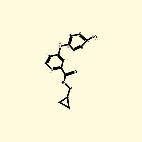 O=C(NCC1CC1)c1cc(Oc2ccc([N+](=O)[O-])cc2)ccn1